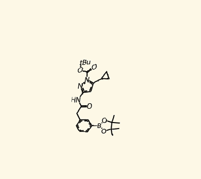 CC(C)(C)OC(=O)n1nc(NC(=O)Cc2cccc(B3OC(C)(C)C(C)(C)O3)c2)cc1C1CC1